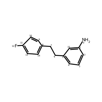 Nc1cccc(CCc2ccc(F)cc2)c1